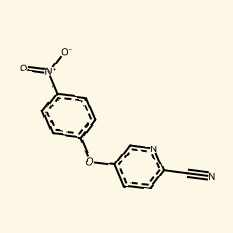 N#Cc1ccc(Oc2ccc([N+](=O)[O-])cc2)cn1